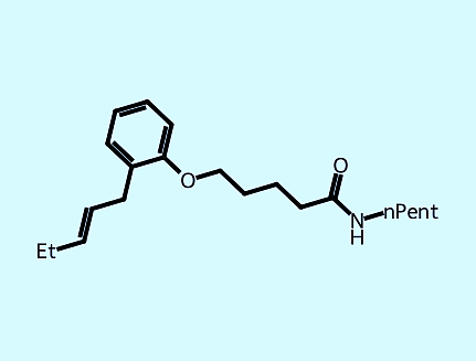 [CH2]CC=CCc1ccccc1OCCCCC(=O)NCCCCC